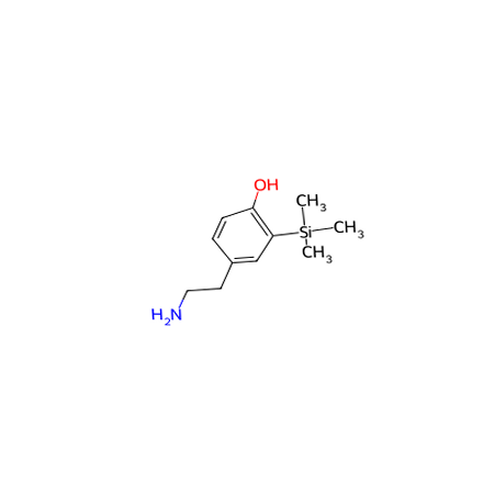 C[Si](C)(C)c1cc(CCN)ccc1O